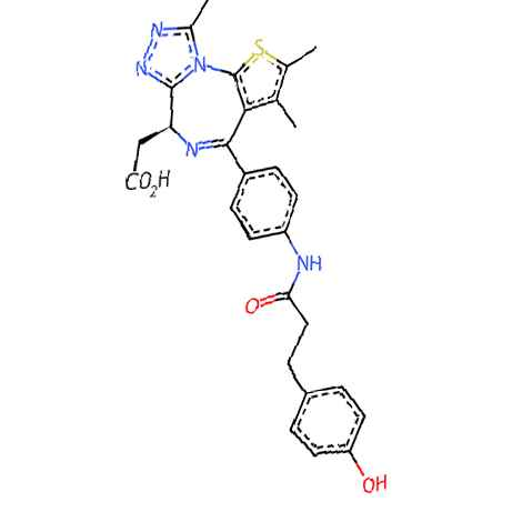 Cc1sc2c(c1C)C(c1ccc(NC(=O)CCc3ccc(O)cc3)cc1)=N[C@@H](CC(=O)O)c1nnc(C)n1-2